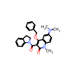 CN(C)c1ccc2c(c1)c(OCc1ccccc1)c(C(=O)N1CCc3ccccc31)c(=O)n2C